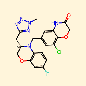 Cn1nnc(C[C@H]2COc3cc(F)ccc3N2Cc2cc(Cl)c3c(c2)NC(=O)CO3)n1